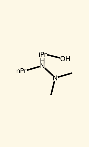 CC(C)O.CCCNN(C)C